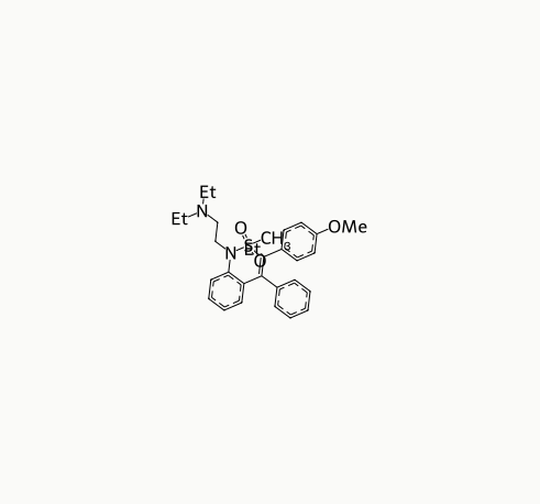 CCC(=C(c1ccccc1)c1ccccc1N(CCN(CC)CC)S(C)(=O)=O)c1ccc(OC)cc1